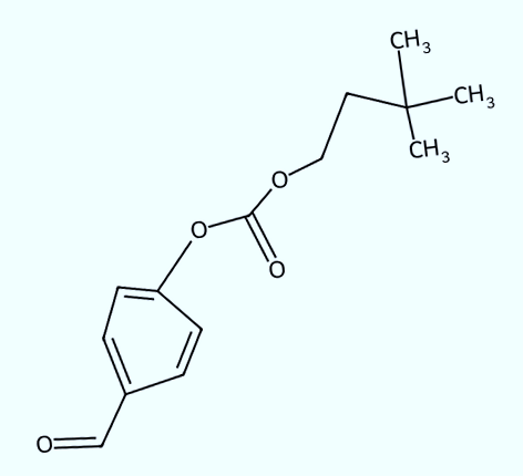 CC(C)(C)CCOC(=O)Oc1ccc(C=O)cc1